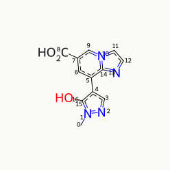 Cn1ncc(-c2cc(C(=O)O)cn3ccnc23)c1O